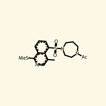 CSc1ncc(C)c2c(S(=O)(=O)N3CCCN(C(C)=O)CC3)cccc12